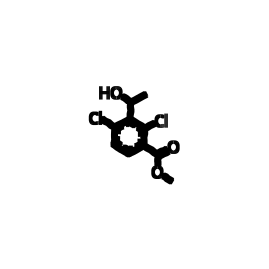 COC(=O)c1ccc(Cl)c(C(C)O)c1Cl